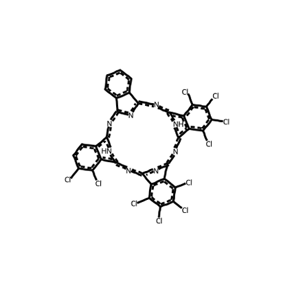 Clc1ccc2c3nc4nc(nc5[nH]c(nc6nc(nc([nH]3)c2c1Cl)-c1c(Cl)c(Cl)c(Cl)c(Cl)c1-6)c1c(Cl)c(Cl)c(Cl)c(Cl)c51)-c1ccccc1-4